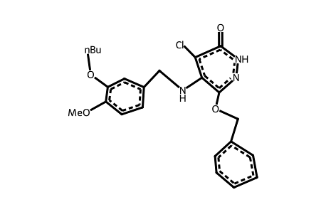 CCCCOc1cc(CNc2c(OCc3ccccc3)n[nH]c(=O)c2Cl)ccc1OC